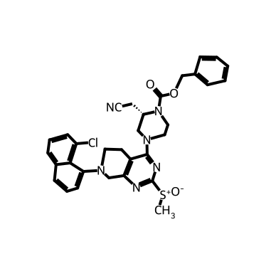 C[S+]([O-])c1nc2c(c(N3CCN(C(=O)OCc4ccccc4)[C@@H](CC#N)C3)n1)CCN(c1cccc3cccc(Cl)c13)C2